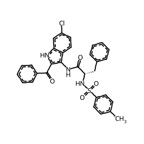 Cc1ccc(S(=O)(=O)N[C@@H](Cc2ccccc2)C(=O)Nc2c(C(=O)c3ccccc3)[nH]c3cc(Cl)ccc23)cc1